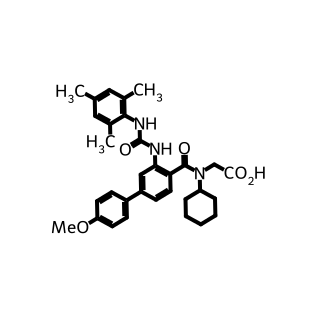 COc1ccc(-c2ccc(C(=O)N(CC(=O)O)C3CCCCC3)c(NC(=O)Nc3c(C)cc(C)cc3C)c2)cc1